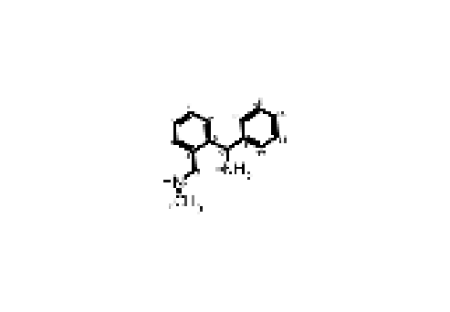 CNCc1ccccc1C(N)c1ccccc1